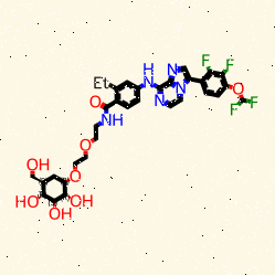 CCc1cc(Nc2nccn3c(-c4ccc(OC(F)F)c(F)c4F)cnc23)ccc1C(=O)NCCOCCO[C@@H]1C[C@H](CO)[C@@H](O)[C@H](O)[C@H]1O